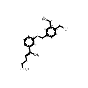 C/C(=C\CCC(=O)O)c1cccc(SCc2ccc(CO)c(CO)c2)c1